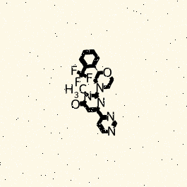 Cn1c(N2CCO[C@@H](c3ccccc3C(F)(F)F)C2)nc(-c2ccncn2)cc1=O